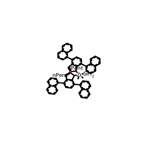 CCCCCC1=Cc2c(-c3cccc4ccccc34)ccc(-c3cccc4ccccc34)c2[CH]1[Zr]([CH3])([CH3])(=[SiH2])[CH]1C(CCCCC)=Cc2c(-c3cccc4ccccc34)ccc(-c3cccc4ccccc34)c21